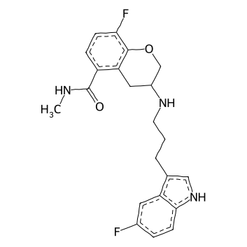 CNC(=O)c1ccc(F)c2c1CC(NCCCc1c[nH]c3ccc(F)cc13)CO2